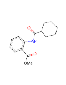 COC(=O)c1ccccc1NC(=O)C1CCCCC1